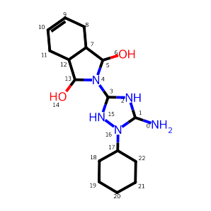 NC1NC(N2C(O)C3CC=CCC3C2O)NN1C1CCCCC1